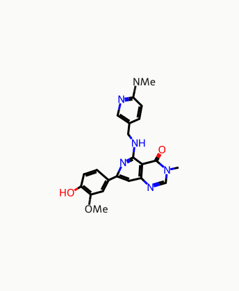 CNc1ccc(CNc2nc(-c3ccc(O)c(OC)c3)cc3ncn(C)c(=O)c23)cn1